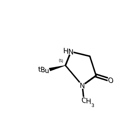 CN1C(=O)CN[C@@H]1C(C)(C)C